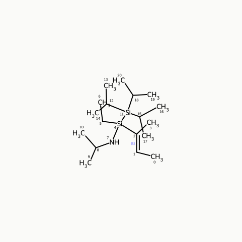 C/C=C(\C)[Si](CC)(NC(C)C)[Si](C(C)C)(C(C)C)C(C)C